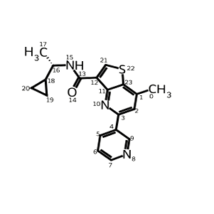 Cc1cc(-c2cccnc2)nc2c(C(=O)N[C@@H](C)C3CC3)csc12